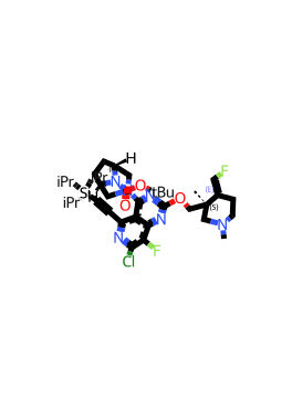 CC(C)[Si](C#Cc1nc(Cl)c(F)c2nc(OC[C@]3(C)CN(C)CC/C3=C\F)nc(N3C[C@H]4CC[C@@H](C3)N4C(=O)OC(C)(C)C)c12)(C(C)C)C(C)C